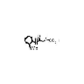 CNc1ccccc1NC(=O)CNC(=O)O